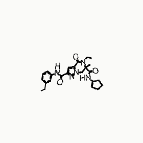 CCc1cccc(NC(=O)c2cc3n(n2)CC(C)(C(=O)NC2CCCC2)N(CC)C3=O)c1